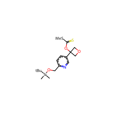 CSC(=S)OC1(c2ccc(CO[Si](C)(C)C(C)(C)C)nc2)COC1